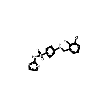 O=S(=O)(Nc1nccs1)c1ccc(NCc2cccc(Cl)c2Cl)cc1